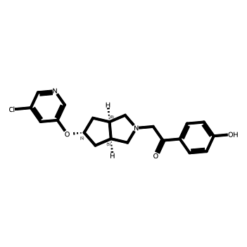 O=C(CN1C[C@H]2C[C@H](Oc3cncc(Cl)c3)C[C@H]2C1)c1ccc(O)cc1